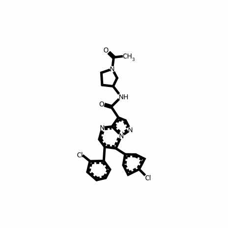 CC(=O)N1CCC(NC(=O)c2cnn3c(-c4ccc(Cl)cc4)c(-c4ccccc4Cl)cnc23)C1